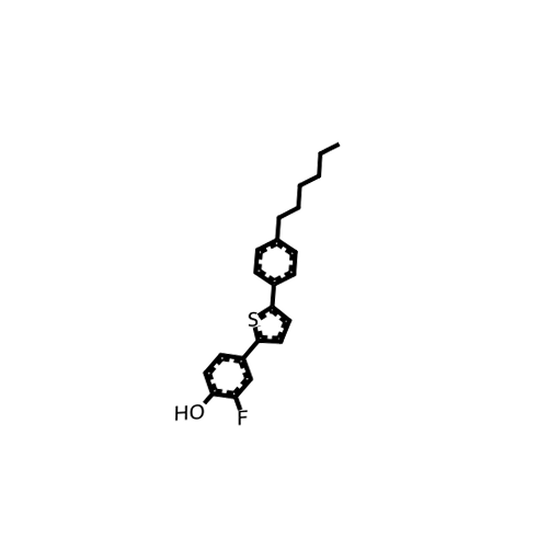 CCCCCCc1ccc(-c2ccc(-c3ccc(O)c(F)c3)s2)cc1